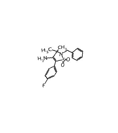 CC1(C)C(N)=C(c2ccc(F)cc2)S(=O)(=O)N1Cc1ccccc1